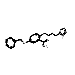 NC(=O)c1cc(OCc2ccccc2)ccc1C[CH]CCc1nnn[nH]1